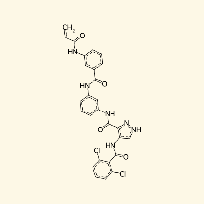 C=CC(=O)Nc1cccc(C(=O)Nc2cccc(NC(=O)c3n[nH]cc3NC(=O)c3c(Cl)cccc3Cl)c2)c1